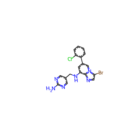 Nc1ncc(CNc2cc(-c3ccccc3Cl)cn3c(Br)cnc23)cn1